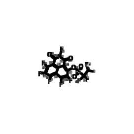 CC(F)C(F)(F)S(=O)(=O)Oc1c(F)c(F)c2c(F)c(F)c(F)c3c2c1C(=O)N(F)C3=O